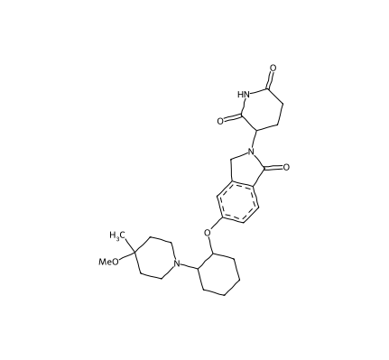 COC1(C)CCN(C2CCCCC2Oc2ccc3c(c2)CN(C2CCC(=O)NC2=O)C3=O)CC1